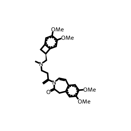 C=C(CCN(C)C[C@H]1Cc2cc(OC)c(OC)cc21)N1C=Cc2cc(OC)c(OC)cc2CC1=O